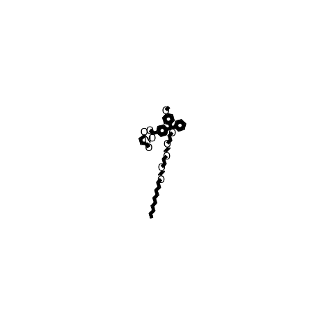 CCCCCCCCCCOCCOCCOCCOCCOC(c1ccccc1)(c1ccc(OC)cc1)c1ccc(C(=O)ON2C(=O)CCC2=O)cc1